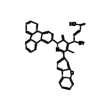 C=C(O)C=CC(C1=C(C)C(c2ccc3c(c2)oc2ccccc23)=NC(c2ccc3c4ccccc4c4ccccc4c3c2)C1=C)C(C)C